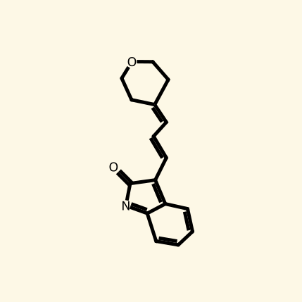 O=C1N=c2ccccc2=C1C=CC=C1CCOCC1